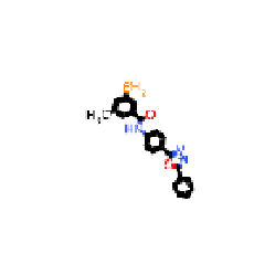 Cc1cc(P)cc(C(=O)Nc2ccc(-c3nnc(-c4ccccc4)o3)cc2)c1